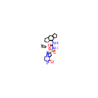 CN1CCn2nc(S(=O)(=O)NC(=O)Nc3c4c(cc5c3CCC5)CCC4)cc2C1=O.[Na]